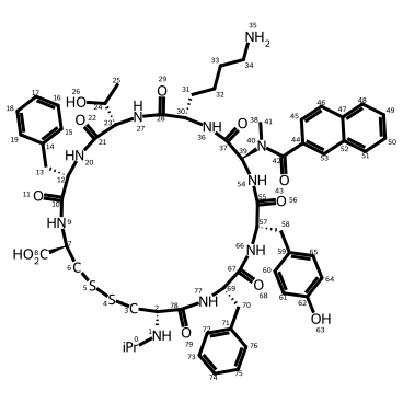 CC(C)N[C@@H]1CSSC[C@@H](C(=O)O)NC(=O)[C@H](Cc2ccccc2)NC(=O)[C@H](C(C)O)NC(=O)[C@H](CCCCN)NC(=O)[C@@H](N(C)C(=O)c2ccc3ccccc3c2)NC(=O)[C@H](Cc2ccc(O)cc2)NC(=O)[C@H](Cc2ccccc2)NC1=O